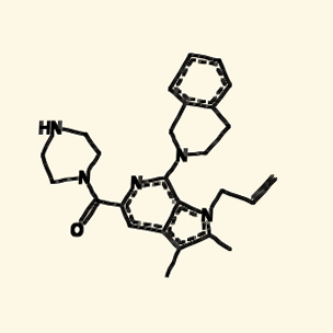 C=CCn1c(C)c(C)c2cc(C(=O)N3CCNCC3)nc(N3CCc4ccccc4C3)c21